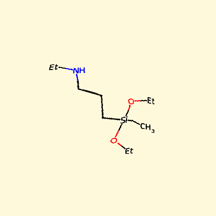 [CH2]CNCCC[Si](C)(OCC)OCC